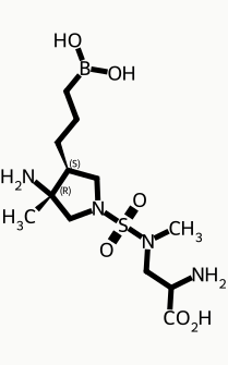 CN(CC(N)C(=O)O)S(=O)(=O)N1C[C@H](CCCB(O)O)[C@@](C)(N)C1